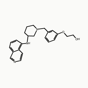 OCCOc1cccc(CN2CCCC(Nc3cccc4cnccc34)C2)c1